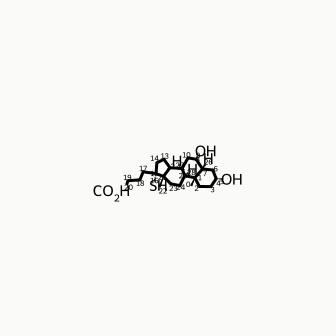 C[C@]12CC[C@@H](O)C[C@H]1[C@@H](O)C[C@H]1C3CC[C@](S)(CCCC(=O)O)[C@@]3(C)CC[C@@H]12